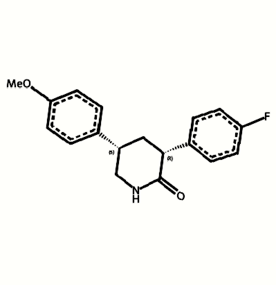 COc1ccc([C@H]2CNC(=O)[C@@H](c3ccc(F)cc3)C2)cc1